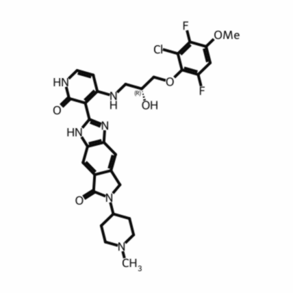 COc1cc(F)c(OC[C@H](O)CNc2cc[nH]c(=O)c2-c2nc3cc4c(cc3[nH]2)C(=O)N(C2CCN(C)CC2)C4)c(Cl)c1F